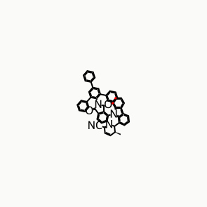 C[C@H]1C=CC(C#N)=NC1c1cccc2c3ccccc3n(-c3cccc4c3C(=O)N(c3c(-c5ccccc5)cc(-c5ccccc5)cc3-c3ccccc3)C4=O)c12